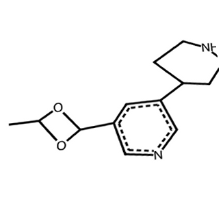 CC1OC(c2cncc(C3CCNCC3)c2)O1